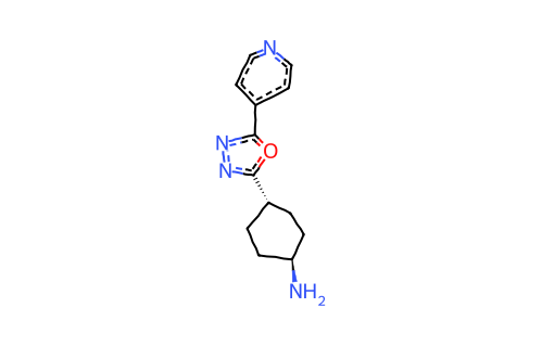 N[C@H]1CC[C@H](c2nnc(-c3ccncc3)o2)CC1